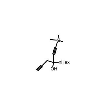 C#CCC(O)(C#C[Si](C)(C)C)CCCCCC